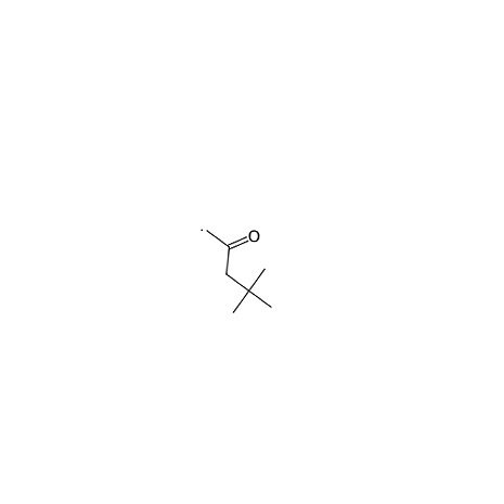 [CH2]C(=O)CC(C)(C)C